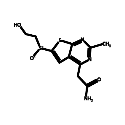 Cc1nc(CC(N)=O)c2cc([S+]([O-])CCO)sc2n1